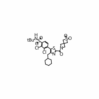 CC(C)(C)NS(=O)(=O)c1ccc(-c2sc(C(=O)N3CC4(C3)CS(=O)(=O)C4)nc2CC2CCCCC2)c(Cl)c1Cl